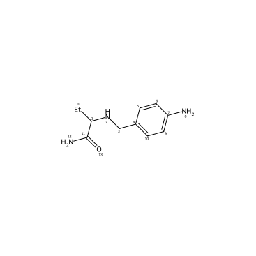 CCC(NCc1ccc(N)cc1)C(N)=O